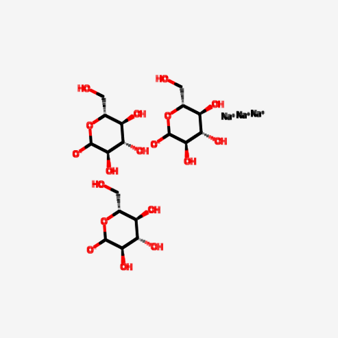 [Na+].[Na+].[Na+].[O-]C1O[C@H](CO)[C@@H](O)[C@H](O)[C@H]1O.[O-]C1O[C@H](CO)[C@@H](O)[C@H](O)[C@H]1O.[O-]C1O[C@H](CO)[C@@H](O)[C@H](O)[C@H]1O